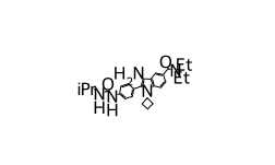 CCN(CC)C(=O)c1ccc2c(c1)c(N)c(-c1ccc(NC(=O)NC(C)C)cc1)n2C1CCC1